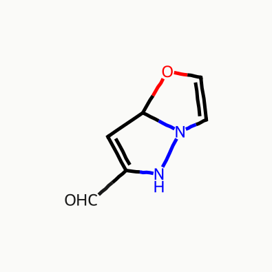 O=CC1=CC2OC=CN2N1